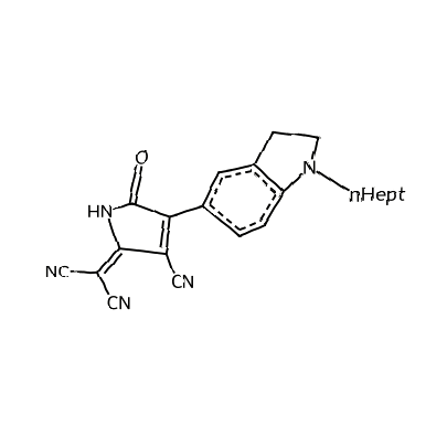 CCCCCCCN1CCc2cc(C3=C(C#N)C(=C(C#N)C#N)NC3=O)ccc21